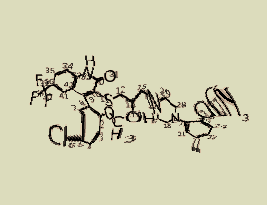 COc1ccc(Cl)cc1-c1c(SCC(O)CN2CCN(c3ccccc3OC)CC2)c(=O)[nH]c2ccc(C(F)(F)F)cc12